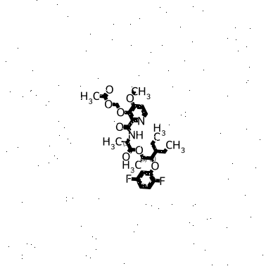 CCC(CC)[C@@H](Oc1cc(F)ccc1F)[C@H](C)OC(=O)[C@H](C)NC(=O)c1nccc(OC)c1OCOC(C)=O